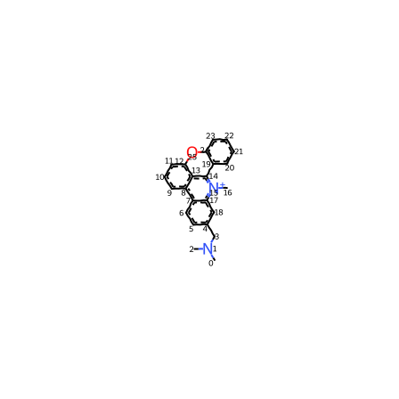 CN(C)Cc1ccc2c3cccc4c3c([n+](C)c2c1)-c1ccccc1O4